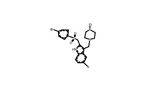 CCN1CCN(Cc2c(CS(=O)(=O)c3ccc(Br)cc3)[nH]c3ccc(F)cc23)CC1